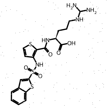 NC(N)NCCC[C@H](NC(=O)c1sccc1NS(=O)(=O)c1cc2ccccc2s1)C(=O)O